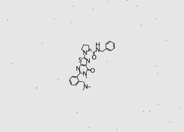 CN(C)Cc1ccccc1-c1nc2sc(N3CCC[C@@H]3C(=O)NCc3ccccc3)nc2c(=O)n1C